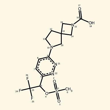 CS(=O)(=O)OC(c1ccc(N2CCC3(CN(C(=O)O)C3)C2)nn1)C(F)(F)F